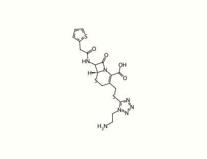 NCCn1nnnc1SCC1=C(C(=O)O)N2C(=O)C(NC(=O)Cc3cccs3)[C@H]2SC1